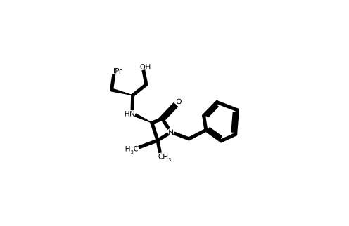 CC(C)C[C@@H](CO)N[C@H]1C(=O)N(Cc2ccccc2)C1(C)C